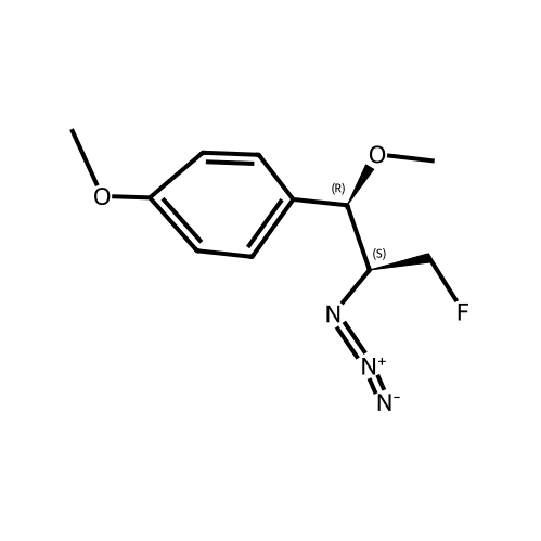 COc1ccc([C@@H](OC)[C@@H](CF)N=[N+]=[N-])cc1